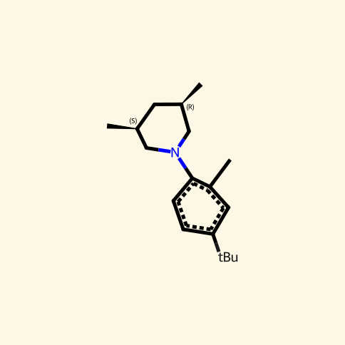 Cc1cc(C(C)(C)C)ccc1N1C[C@H](C)C[C@H](C)C1